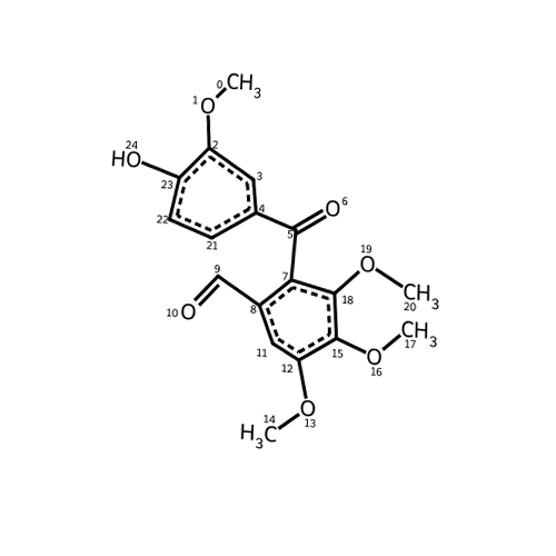 COc1cc(C(=O)c2c(C=O)cc(OC)c(OC)c2OC)ccc1O